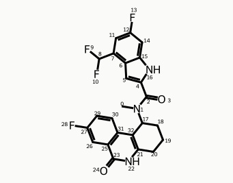 CN(C(=O)c1cc2c(C(F)F)cc(F)cc2[nH]1)C1CCCc2[nH]c(=O)c3cc(F)ccc3c21